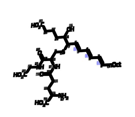 CCCCCCCC/C=C/C=C/C=C/C(SCC(NC(=O)CCC(N)C(=O)O)C(=O)NCC(=O)O)C(O)CCCC(=O)O